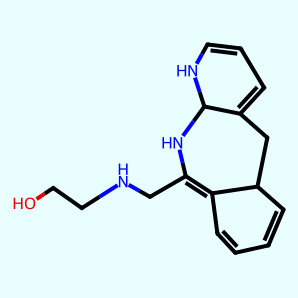 OCCNCC1=C2C=CC=CC2CC2=CC=CNC2N1